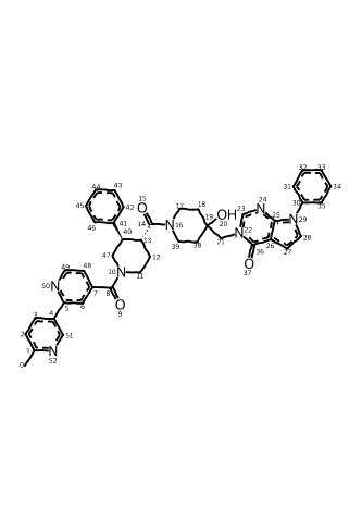 Cc1ccc(-c2cc(C(=O)N3CC[C@@H](C(=O)N4CCC(O)(Cn5cnc6c(ccn6-c6ccccc6)c5=O)CC4)[C@H](c4ccccc4)C3)ccn2)cn1